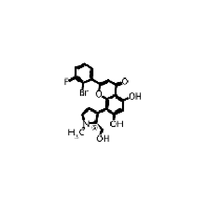 CN1CCC(c2c(O)cc(O)c3c(=O)cc(-c4cccc(F)c4Br)oc23)[C@H]1CO